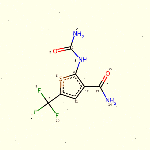 NC(=O)Nc1sc(C(F)(F)F)cc1C(N)=O